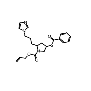 C=CCOC(=O)N1CC(SC(=O)c2ccccc2)CC1CCCn1ccnc1